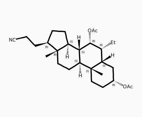 CC[C@H]1[C@@H](OC(C)=O)[C@@H]2[C@H](CC[C@]3(C)[C@@H](CCC#N)CC[C@@H]23)[C@@]2(C)CC[C@@H](OC(C)=O)C[C@@H]12